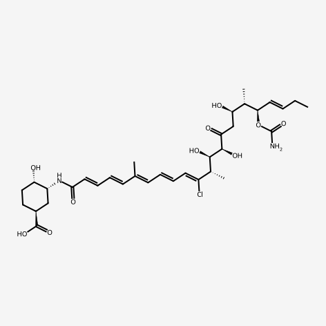 CC/C=C/[C@@H](OC(N)=O)[C@@H](C)[C@H](O)CC(=O)[C@@H](O)[C@H](O)[C@H](C)/C(Cl)=C/C=C/C=C(C)/C=C/C=C/C(=O)N[C@@H]1C[C@@H](C(=O)O)CC[C@@H]1O